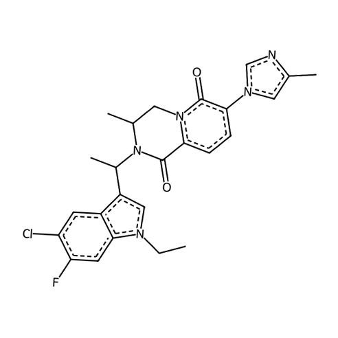 CCn1cc(C(C)N2C(=O)c3ccc(-n4cnc(C)c4)c(=O)n3CC2C)c2cc(Cl)c(F)cc21